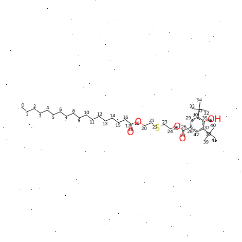 CCCCCCCCCCCCCCCCCC(=O)OCCSCCOC(=O)c1cc(C(C)(C)C)c(O)c(C(C)(C)C)c1